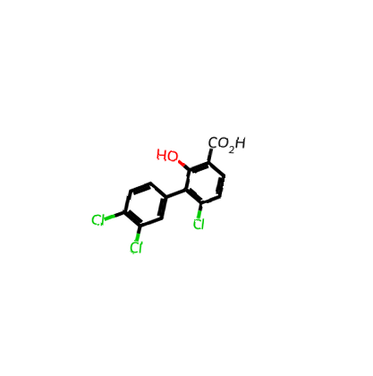 O=C(O)c1ccc(Cl)c(-c2ccc(Cl)c(Cl)c2)c1O